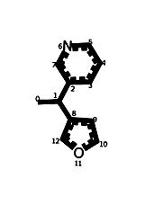 C[C](c1cccnc1)c1ccoc1